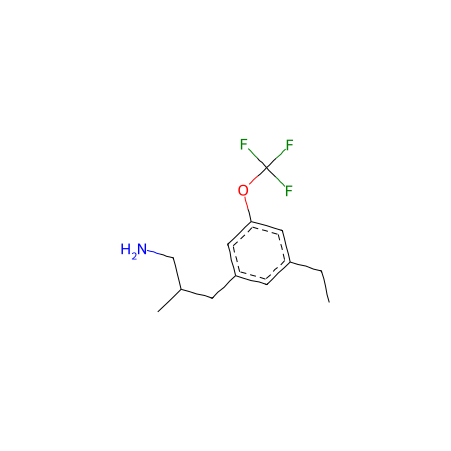 CCc1cc(CC(C)CN)cc(OC(F)(F)F)c1